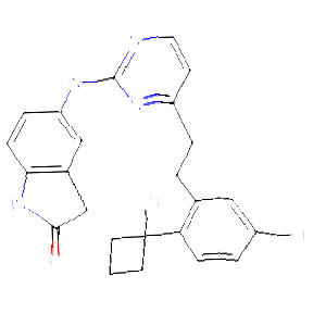 N#CC1(c2ccc(C(F)(F)F)cc2CCc2ccnc(Nc3ccc4c(c3)CC(=O)N4)n2)CCC1